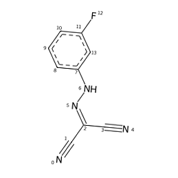 N#CC(C#N)=NNc1cccc(F)c1